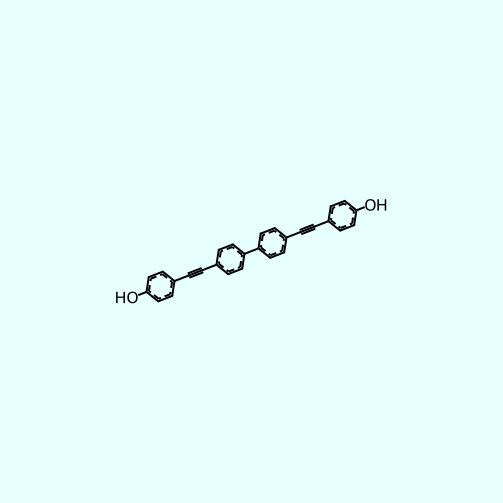 Oc1ccc(C#Cc2ccc(-c3ccc(C#Cc4ccc(O)cc4)cc3)cc2)cc1